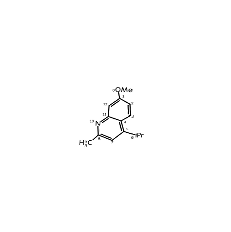 COc1ccc2c(C(C)C)cc(C)nc2c1